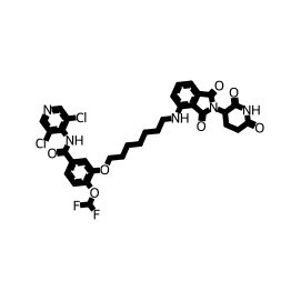 O=C1CCC(N2C(=O)c3cccc(NCCCCCCCOc4cc(C(=O)Nc5c(Cl)cncc5Cl)ccc4OC(F)F)c3C2=O)C(=O)N1